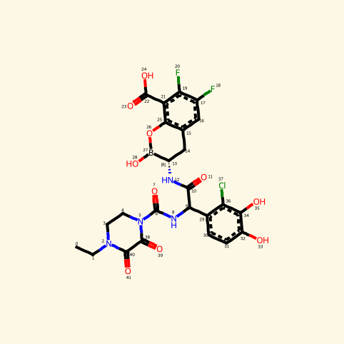 CCN1CCN(C(=O)NC(C(=O)N[C@H]2Cc3cc(F)c(F)c(C(=O)O)c3OB2O)c2ccc(O)c(O)c2Cl)C(=O)C1=O